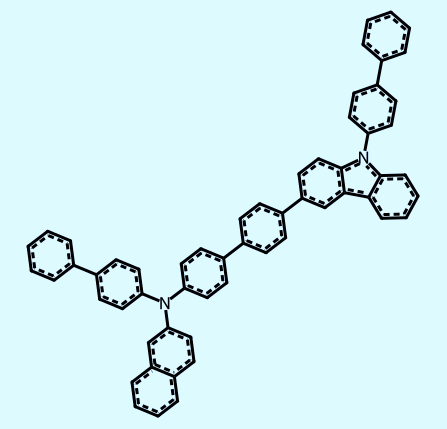 c1ccc(-c2ccc(N(c3ccc(-c4ccc(-c5ccc6c(c5)c5ccccc5n6-c5ccc(-c6ccccc6)cc5)cc4)cc3)c3ccc4ccccc4c3)cc2)cc1